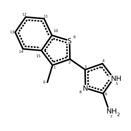 Cc1c(-c2c[nH]c(N)n2)sc2ccccc12